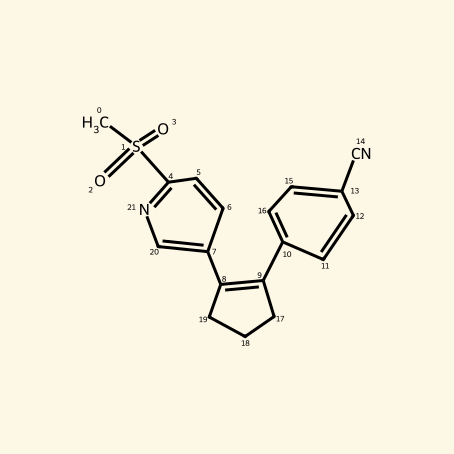 CS(=O)(=O)c1ccc(C2=C(c3ccc(C#N)cc3)CCC2)cn1